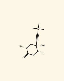 [3H][C@@H]1C[C@@](O)(C#C[Si](C)(C)C)[C@H](C)CC1=C